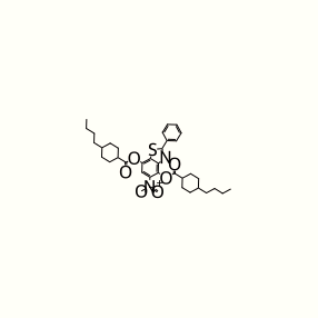 CCCCC1CCC(C(=O)Oc2c([N+](=O)[O-])cc(OC(=O)C3CCC(CCCC)CC3)c3sc(-c4ccccc4)nc23)CC1